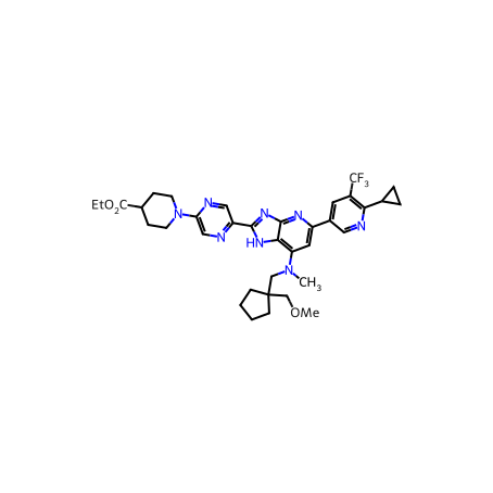 CCOC(=O)C1CCN(c2cnc(-c3nc4nc(-c5cnc(C6CC6)c(C(F)(F)F)c5)cc(N(C)CC5(COC)CCCC5)c4[nH]3)cn2)CC1